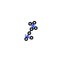 c1ccc(-n2c(-c3ccc(-c4ccc5c(c4)c4ccccc4n5-n4c5ccccc5c5ccccc54)cc3)nc3ccccc32)cc1